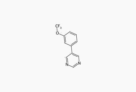 FC(F)(F)Oc1cccc(-c2[c]ncnc2)c1